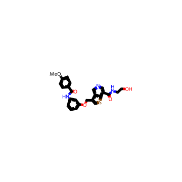 COc1ccc(C(=O)Nc2cccc(OCc3csc4c(C(=O)NCCO)cncc34)c2)cc1